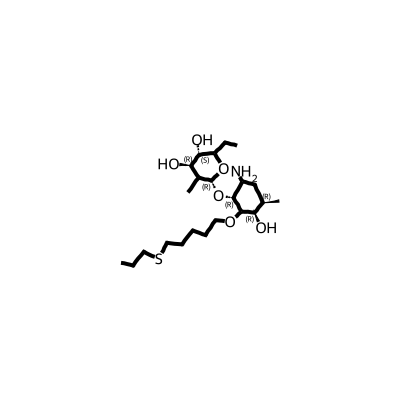 CCCSCCCCCOC1[C@H](O[C@H]2OC(CC)[C@@H](O)[C@H](O)C2C)C(N)C[C@@H](C)[C@H]1O